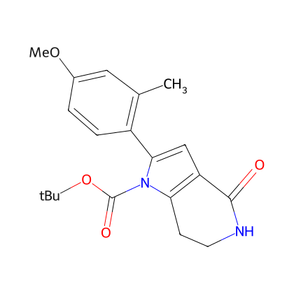 COc1ccc(-c2cc3c(n2C(=O)OC(C)(C)C)CCNC3=O)c(C)c1